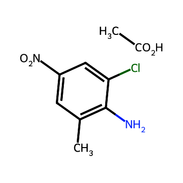 CC(=O)O.Cc1cc([N+](=O)[O-])cc(Cl)c1N